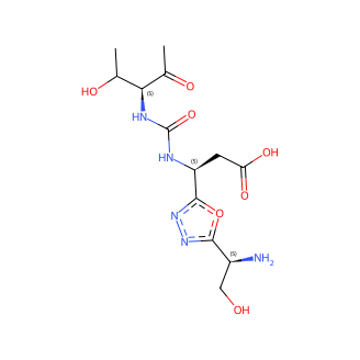 CC(=O)[C@@H](NC(=O)N[C@@H](CC(=O)O)c1nnc([C@@H](N)CO)o1)C(C)O